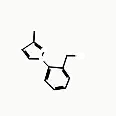 Cc1ccn(-c2ccccc2CN=O)n1